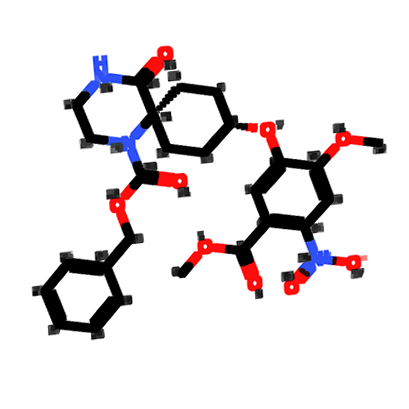 COC(=O)c1cc(O[C@H]2CC[C@@]3(CC2)C(=O)NCCN3C(=O)OCc2ccccc2)c(OC)cc1[N+](=O)[O-]